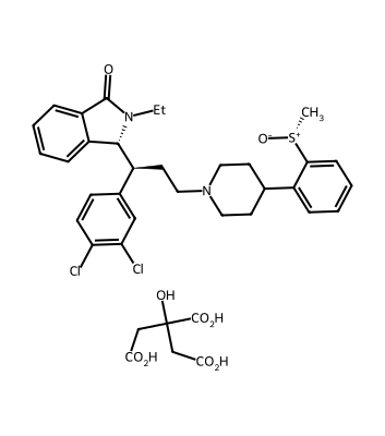 CCN1C(=O)c2ccccc2[C@H]1[C@@H](CCN1CCC(c2ccccc2[S@@+](C)[O-])CC1)c1ccc(Cl)c(Cl)c1.O=C(O)CC(O)(CC(=O)O)C(=O)O